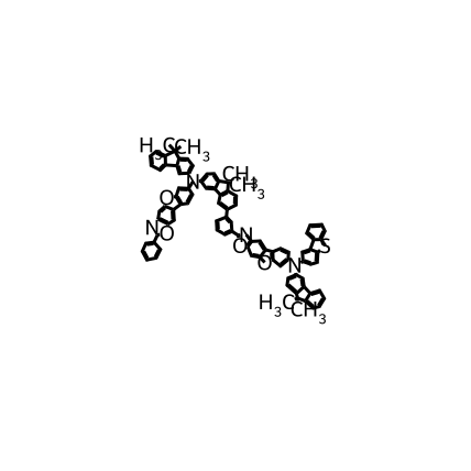 CC1(C)c2ccccc2-c2cc(N(c3ccc4c(c3)-c3cc(-c5cccc(-c6nc7cc8c(cc7o6)oc6cc(N(c7ccc9c(c7)-c7ccccc7C9(C)C)c7ccc9sc%10ccccc%10c9c7)ccc68)c5)ccc3C4(C)C)c3ccc4c(c3)oc3cc5nc(-c6ccccc6)oc5cc34)ccc21